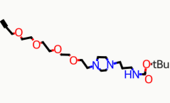 C#CCOCCOCCOCCOCCN1CCN(CCCNC(=O)OC(C)(C)C)CC1